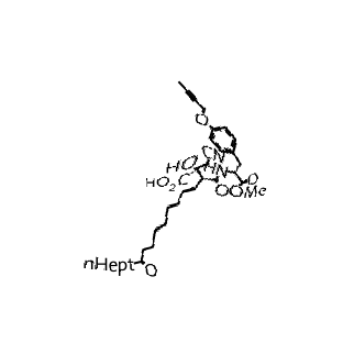 CC#CCOc1ccc(C[C@H](NC(=O)[C@@H](/C=C/CCCCCCC(=O)CCCCCCC)[C@@](O)(CC#N)C(=O)O)C(=O)OC)cc1